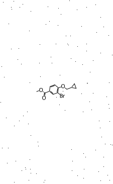 COC(=O)c1ccc(OCC2CC2)c(Br)c1